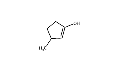 CC1C=C(O)CC1